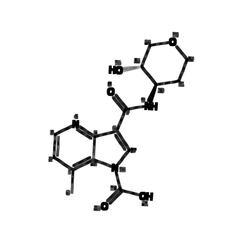 Cc1ccnc2c(C(=O)N[C@@H]3CCOC[C@H]3O)cn(C(=O)O)c12